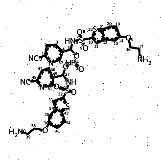 N#Cc1ccc(C(NS(=O)(=O)c2cc3cc(OCCN)ccc3s2)O[PH](=O)OC(NS(=O)(=O)c2cc3cc(OCCN)ccc3s2)c2ccc(C#N)nc2)cn1